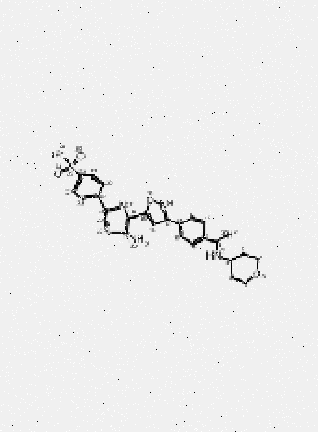 [2H]C(NC1CCOCC1)c1ccc(-c2cc(-c3nc(-c4ccc(S(=O)(=O)C(C)C)cc4)cnc3N)on2)cc1